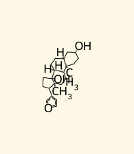 C[C@]12CC[C@H](O)C[C@H]1CC[C@@H]1[C@@H]2CC[C@]2(C)C(c3ccoc3)CC[C@]12O